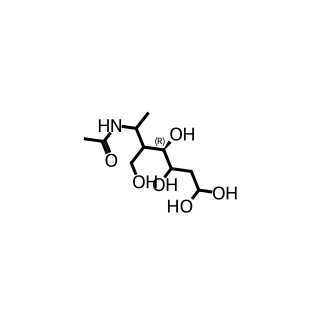 CC(=O)NC(C)C(CO)[C@@H](O)C(O)CC(O)O